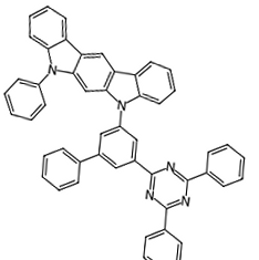 c1ccc(-c2cc(-c3nc(-c4ccccc4)nc(-c4ccccc4)n3)cc(-n3c4ccccc4c4cc5c6ccccc6n(-c6ccccc6)c5cc43)c2)cc1